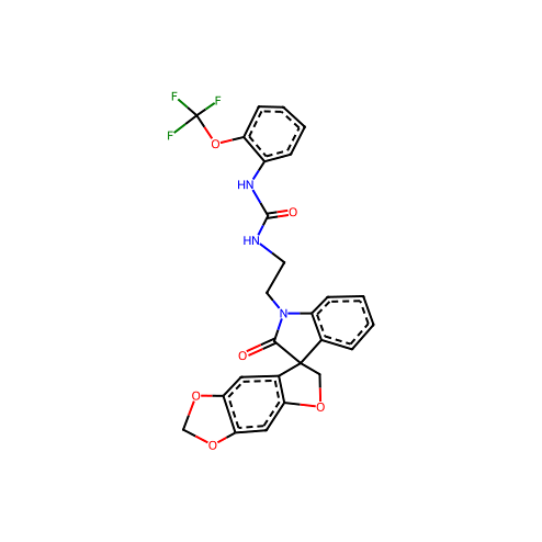 O=C(NCCN1C(=O)C2(COc3cc4c(cc32)OCO4)c2ccccc21)Nc1ccccc1OC(F)(F)F